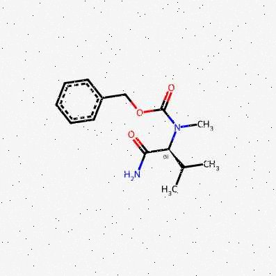 CC(C)[C@@H](C(N)=O)N(C)C(=O)OCc1ccccc1